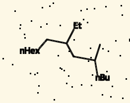 CCCCCCCC(CC)CC(C)CCCC